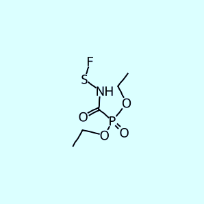 CCOP(=O)(OCC)C(=O)NSF